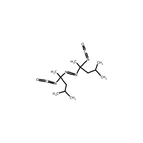 CC(C)CC(C)(N=C=O)N=NC(C)(CC(C)C)N=C=O